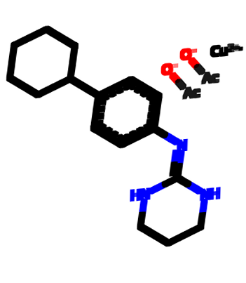 CC(=O)[O-].CC(=O)[O-].[Cu+2].c1cc(C2CCCCC2)ccc1N=C1NCCCN1